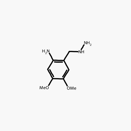 COc1cc(N)c(CNN)cc1OC